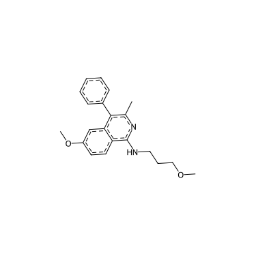 COCCCNc1nc(C)c(-c2ccccc2)c2cc(OC)ccc12